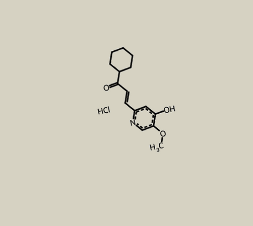 COc1cnc(/C=C/C(=O)C2CCCCC2)cc1O.Cl